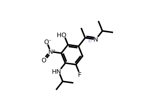 C/C(=N\C(C)C)c1cc(F)c(NC(C)C)c([N+](=O)[O-])c1O